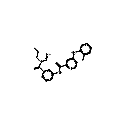 C=C(Nc1cccc(C(=C)N(C=N)CCC)c1)c1cc(Nc2ccccc2C)ccn1